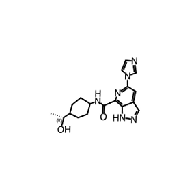 C[C@@H](O)C1CCC(NC(=O)c2nc(-n3ccnc3)cc3cn[nH]c23)CC1